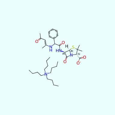 CC(=O)C=C(C)NC(C(=O)N[C@@H]1C(=O)N2[C@@H]1SC(C)(C)[C@@H]2C(=O)[O-])c1ccccc1.CCCC[N+](CCCC)(CCCC)CCCC